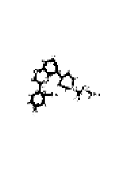 CC(C)(C)OC(=O)N1CCC(c2cccc3c2OC(c2ccc(Cl)cc2F)CO3)CC1